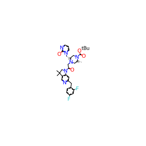 C[C@@H]1CN(CC(=O)N2CC(C)(C)c3cnc(Cc4ccc(F)cc4F)cc32)[C@H](Cn2cccnc2=O)CN1C(=O)OC(C)(C)C